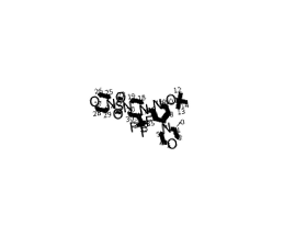 C[C@@H]1COCCN1c1cc(OC(C)(C)C)nc(N2CCN(S(=O)(=O)N3CCOCC3)CC2C(F)(F)F)c1